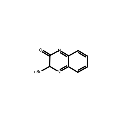 CCCCC1N=c2ccccc2=NC1=O